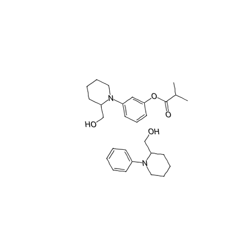 CC(C)C(=O)Oc1cccc(N2CCCCC2CO)c1.OCC1CCCCN1c1ccccc1